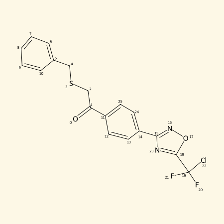 O=C(CSCc1ccccc1)c1ccc(-c2noc(C(F)(F)Cl)n2)cc1